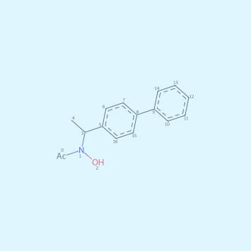 CC(=O)N(O)C(C)c1ccc(-c2ccccc2)cc1